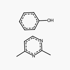 Cc1ccnc(C)n1.Oc1ccccc1